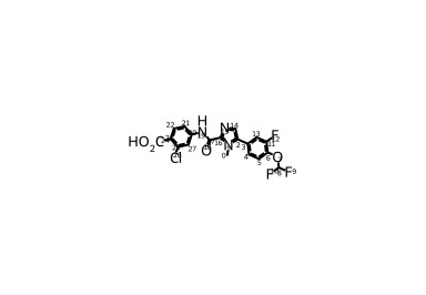 Cn1c(-c2ccc(OC(F)F)c(F)c2)cnc1C(=O)Nc1ccc(C(=O)O)c(Cl)c1